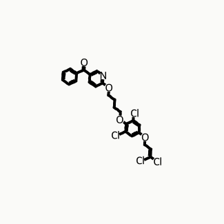 O=C(c1ccccc1)c1ccc(OCCCCOc2c(Cl)cc(OCC=C(Cl)Cl)cc2Cl)nc1